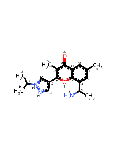 Cc1cc(C(C)N)c2oc(-c3cnn(C(C)C)c3)c(C)c(=O)c2c1